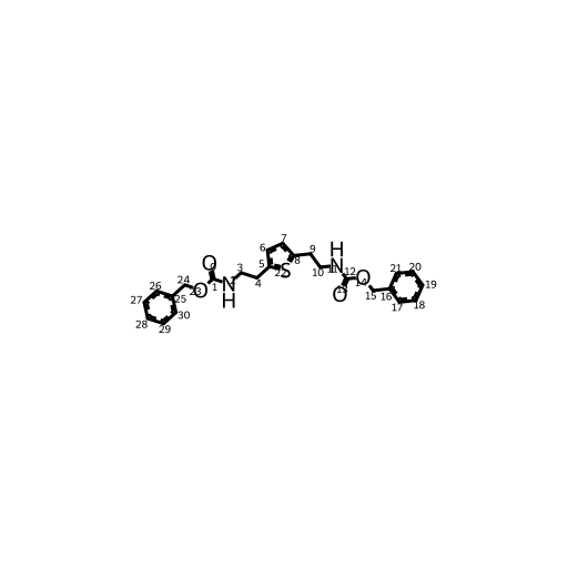 O=C(NCCc1ccc(CCNC(=O)OCc2ccccc2)s1)OCc1ccccc1